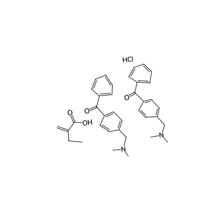 C=C(CC)C(=O)O.CN(C)Cc1ccc(C(=O)c2ccccc2)cc1.CN(C)Cc1ccc(C(=O)c2ccccc2)cc1.Cl